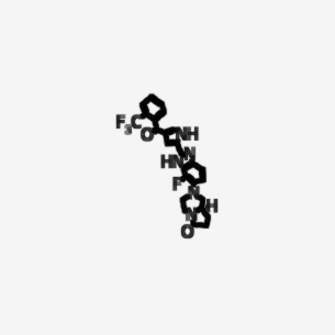 O=C(c1c[nH]c(-c2nc3ccc(N4CCN5C(=O)CC[C@@H]5C4)c(F)c3[nH]2)c1)c1ccccc1C(F)(F)F